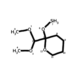 COC(OC)C1(O[SiH3])CCCCO1